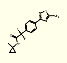 CC1(NC(=O)C(F)(F)c2ccc(-c3noc(C(F)(F)F)n3)cc2)CC1